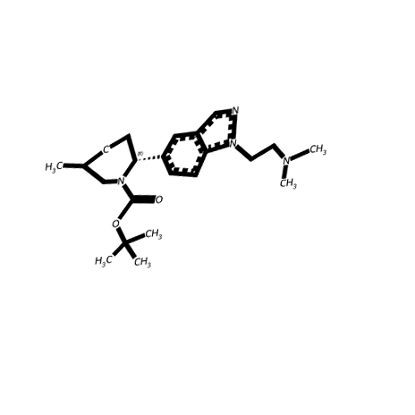 CC1CC[C@H](c2ccc3c(cnn3CCN(C)C)c2)N(C(=O)OC(C)(C)C)C1